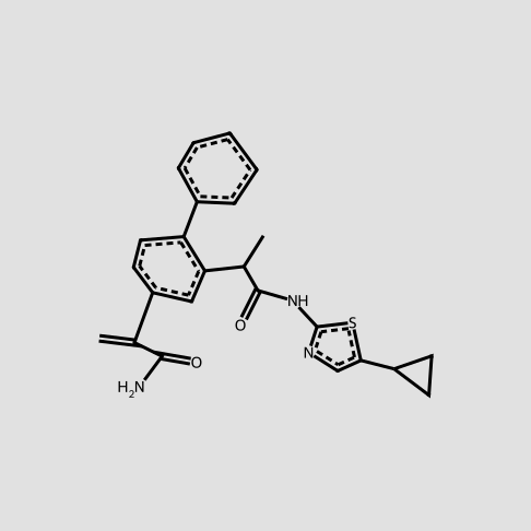 C=C(C(N)=O)c1ccc(-c2ccccc2)c(C(C)C(=O)Nc2ncc(C3CC3)s2)c1